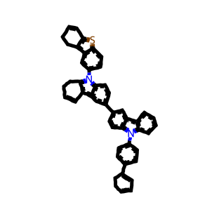 C1=CCCC(c2ccc(-n3c4ccccc4c4cc(-c5ccc6c(c5)c5c(n6-c6ccc7sc8c(c7c6)CCC=C8)CCC=C5)ccc43)cc2)=C1